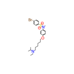 CCN(CCCCCCOc1ccc(N(C)S(=O)(=O)c2ccc(Br)cc2)cc1)C(C)C